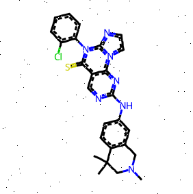 CN1Cc2cc(Nc3ncc4c(=S)n(-c5ccccc5Cl)c5nccn5c4n3)ccc2C(C)(C)C1